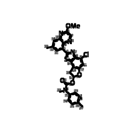 COc1cnc2c(-c3nc4c(Cl)cc5c(c4s3)C[C@H](OC(=O)N(C)c3ccc(C)nc3)O5)cc(C)cc2n1